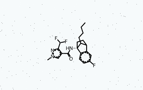 CCCCC1C2CC[C@]1(NC(=O)c1cn(C)nc1C(F)F)c1ccc(F)cc12